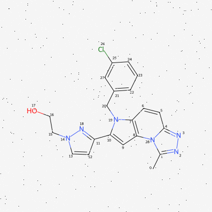 Cc1nnc2ccc3c(cc(-c4ccn(CCO)n4)n3Cc3cccc(Cl)c3)n12